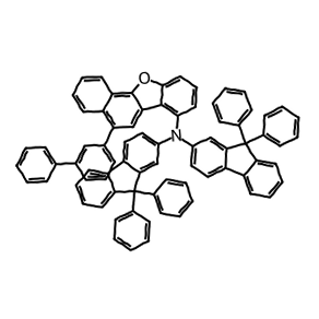 c1ccc(-c2cccc(-c3cc4c(oc5cccc(N(c6ccc7c(c6)C(c6ccccc6)(c6ccccc6)c6ccccc6-7)c6ccc7c(c6)C(c6ccccc6)(c6ccccc6)c6ccccc6-7)c54)c4ccccc34)c2)cc1